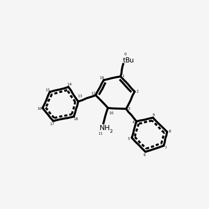 CC(C)(C)C1=CC(c2ccccc2)C(N)C(c2ccccc2)=C1